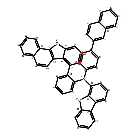 c1ccc(N(c2ccc(-c3ccc4ccccc4c3)cc2)c2cccc3c2oc2ccccc23)c(-c2cccc3oc4c5ccccc5ccc4c23)c1